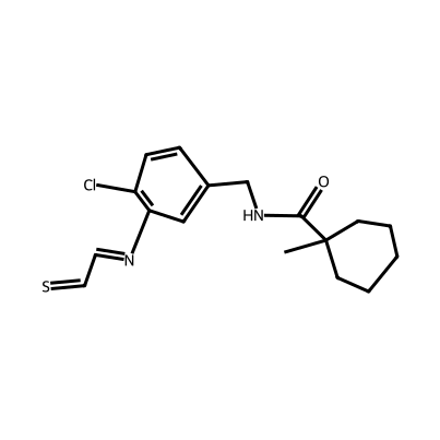 CC1(C(=O)NCc2ccc(Cl)c(N=CC=S)c2)CCCCC1